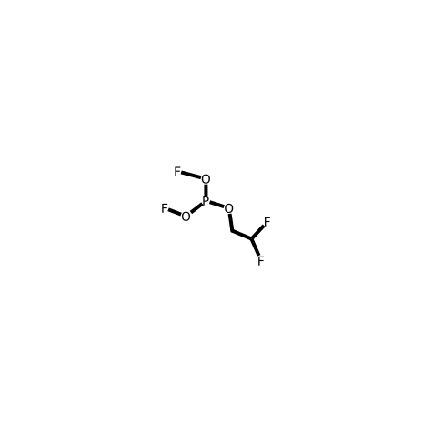 FOP(OF)OCC(F)F